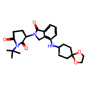 CC(C)(C)N1C(=O)CCC(N2Cc3c(NC4CCC5(CC4)OCCO5)cccc3C2=O)C1=O